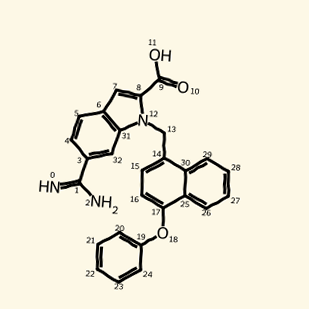 N=C(N)c1ccc2cc(C(=O)O)n(Cc3ccc(Oc4ccccc4)c4ccccc34)c2c1